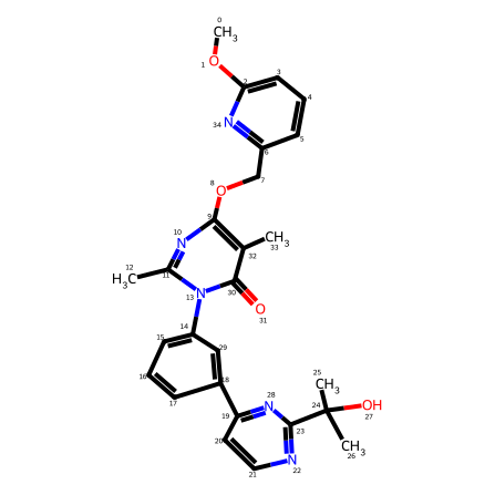 COc1cccc(COc2nc(C)n(-c3cccc(-c4ccnc(C(C)(C)O)n4)c3)c(=O)c2C)n1